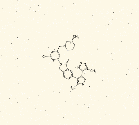 C[C@H]1CCCN(Cc2cc(Cl)nc(N3Cc4ccc(-c5c(-c6nncn6C)cnn5C)cc4C3=O)c2)C1